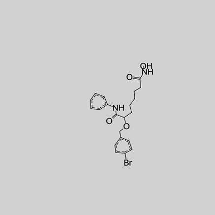 O=C(CCCCCC(OCc1ccc(Br)cc1)C(=O)Nc1ccccc1)NO